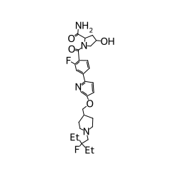 CCC(F)(CC)CN1CCC(COc2ccc(-c3ccc(C(=O)N4CC(O)CC4C(N)=O)c(F)c3)nc2)CC1